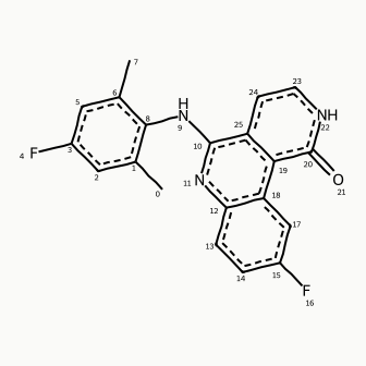 Cc1cc(F)cc(C)c1Nc1nc2ccc(F)cc2c2c(=O)[nH]ccc12